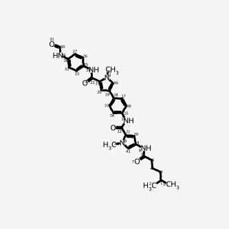 CC(C)CCCC(=O)Nc1cc(C(=O)Nc2ccc(-c3cc(C(=O)Nc4ccc(NC=O)cc4)n(C)c3)cc2)n(C)c1